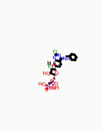 C=C(/C=C\c1c(C)nc(Cl)nc1NCc1ccccc1)[C@@H]1O[C@H](COP(=O)(O)CP(=O)(O)O)[C@@H](O)[C@@H]1F